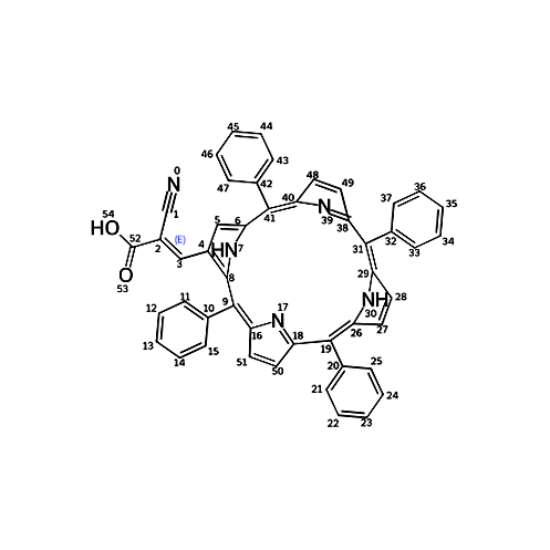 N#C/C(=C\c1cc2[nH]c1c(-c1ccccc1)c1nc(c(-c3ccccc3)c3ccc([nH]3)c(-c3ccccc3)c3nc(c2-c2ccccc2)C=C3)C=C1)C(=O)O